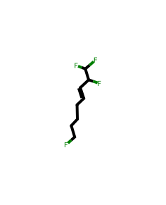 FCCCCC=CC(F)C(F)F